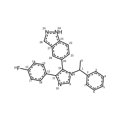 CC(c1ccccc1)n1cnc(-c2ccc(F)cc2)c1-c1ccc2[nH]ncc2c1